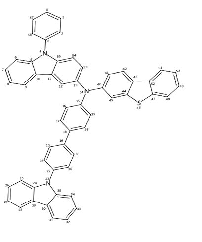 c1ccc(-n2c3ccccc3c3cc(N(c4ccc(-c5ccc(-n6c7ccccc7c7ccccc76)cc5)cc4)c4ccc5c(c4)sc4ccccc45)ccc32)cc1